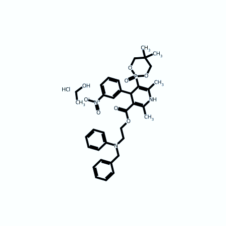 CC1=C(C(=O)OCCN(Cc2ccccc2)c2ccccc2)C(c2cccc([N+](=O)[O-])c2)C(P2(=O)OCC(C)(C)CO2)=C(C)N1.CCO.Cl